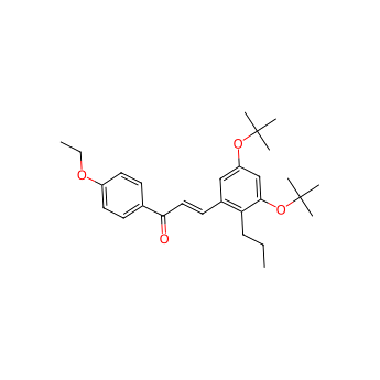 CCCc1c(C=CC(=O)c2ccc(OCC)cc2)cc(OC(C)(C)C)cc1OC(C)(C)C